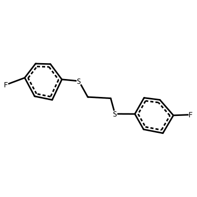 Fc1ccc(SCCSc2ccc(F)cc2)cc1